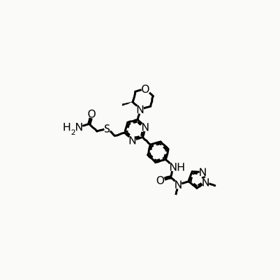 C[C@H]1COCCN1c1cc(CSCC(N)=O)nc(-c2ccc(NC(=O)N(C)c3cnn(C)c3)cc2)n1